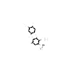 Cc1c([N+](=O)[O-])cc(F)c(Oc2ccc(F)c(Br)c2)c1Cl